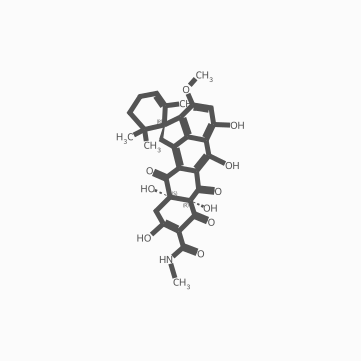 CNC(=O)C1=C(O)C[C@@]2(O)C(=O)c3c(c(O)c4c(O)cc(OC)c5c4c3C[C@@]53C(C)=CCCC3(C)C)C(=O)[C@@]2(O)C1=O